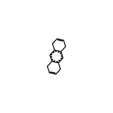 C1=CCc2cc3c(cc2C1)CC=CC3